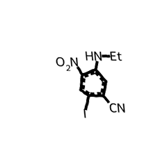 CCNc1cc(C#N)c(I)cc1[N+](=O)[O-]